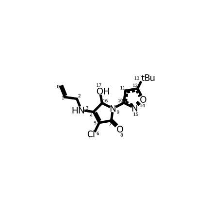 C=CCNC1=C(Cl)C(=O)N(c2cc(C(C)(C)C)on2)C1O